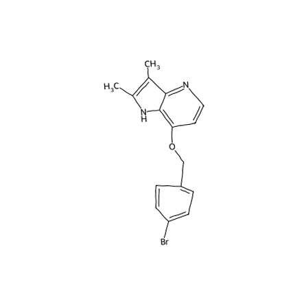 Cc1[nH]c2c(OCc3ccc(Br)cc3)ccnc2c1C